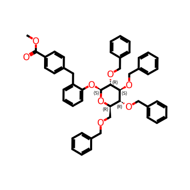 COC(=O)c1ccc(Cc2ccccc2O[C@@H]2O[C@H](COCc3ccccc3)[C@@H](OCc3ccccc3)[C@H](OCc3ccccc3)[C@H]2OCc2ccccc2)cc1